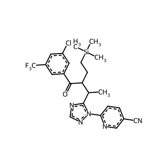 CC(c1ncnn1-c1ccc(C#N)cn1)C(CC[Si](C)(C)C)C(=O)c1cc(Cl)cc(C(F)(F)F)c1